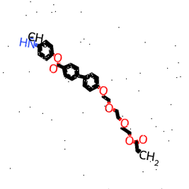 C=CC(=O)OCCOCCOCCOc1ccc(-c2ccc(C(=O)Oc3ccc(NC)cc3)cc2)cc1